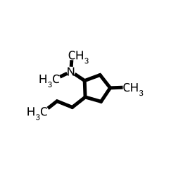 CCCC1CC(C)CC1N(C)C